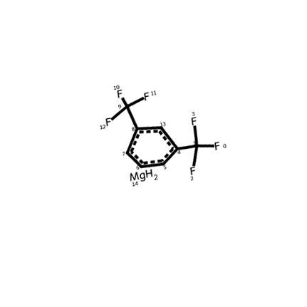 FC(F)(F)c1cccc(C(F)(F)F)c1.[MgH2]